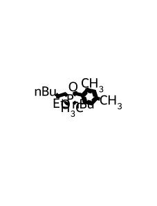 CCCCC(CC)CP(=O)(CCCC)C(=O)c1c(C)cc(C)cc1C